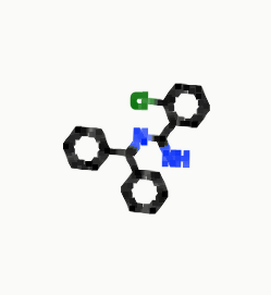 N=C(N=C(c1ccccc1)c1ccccc1)c1ccccc1Cl